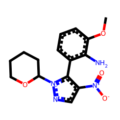 COc1cccc(-c2c([N+](=O)[O-])cnn2C2CCCCO2)c1N